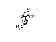 Cc1ccc(C(C(C)C)C(F)(F)F)o1